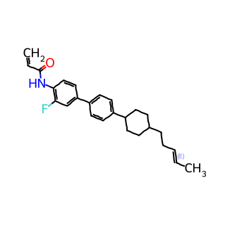 C=CC(=O)Nc1ccc(-c2ccc(C3CCC(CC/C=C/C)CC3)cc2)cc1F